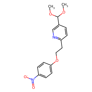 COC(OC)c1ccc(CCOc2ccc([N+](=O)[O-])cc2)nc1